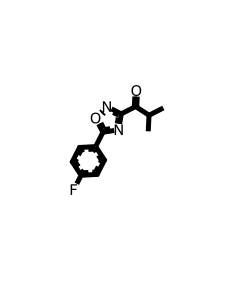 CC(C)C(=O)c1noc(-c2ccc(F)cc2)n1